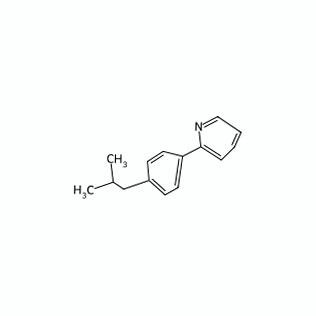 CC(C)Cc1ccc(-c2ccccn2)cc1